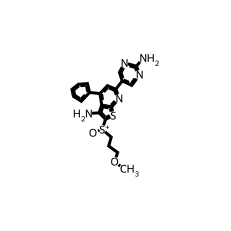 COCCC[S+]([O-])c1sc2nc(-c3cnc(N)nc3)cc(-c3ccccc3)c2c1N